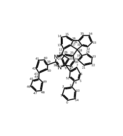 c1ccc(-c2cccc(-c3cc(-c4cccc5c4C(c4ccccc4)(c4ccccc4)c4ccccc4-5)nc(-c4cccc(-c5ccccc5)c4)n3)c2)cc1